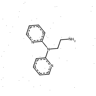 NCCN(c1ccccn1)c1ccccn1